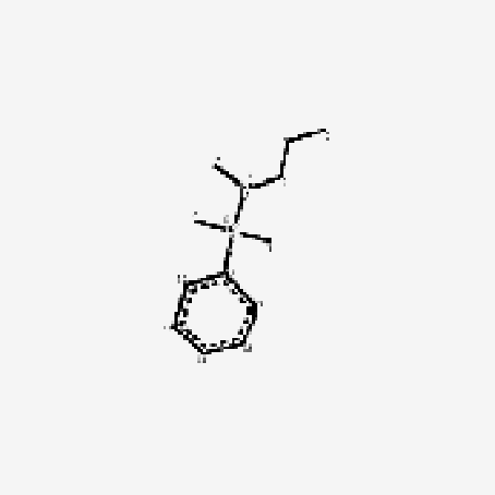 CCCN(C)[Si](C)(C)c1ccccc1